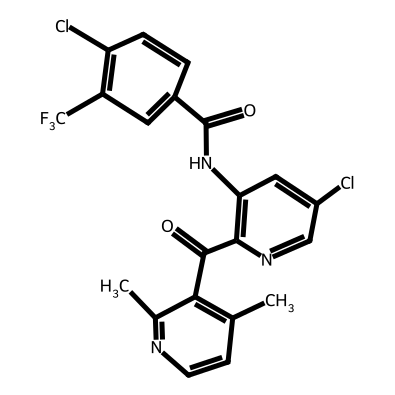 Cc1ccnc(C)c1C(=O)c1ncc(Cl)cc1NC(=O)c1ccc(Cl)c(C(F)(F)F)c1